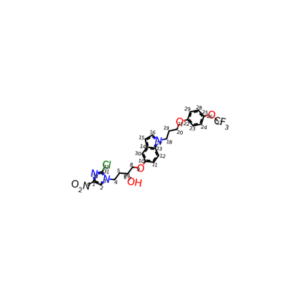 O=[N+]([O-])c1cn(CC[C@@H](O)COc2ccc3c(ccn3CCCOc3ccc(OC(F)(F)F)cc3)c2)c(Cl)n1